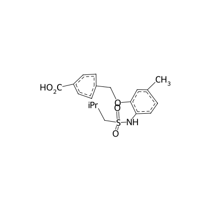 Cc1ccc(NS(=O)(=O)CC(C)C)c(OCc2ccc(C(=O)O)cc2)c1